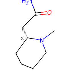 CN1CCCC[C@@H]1CC(N)=O